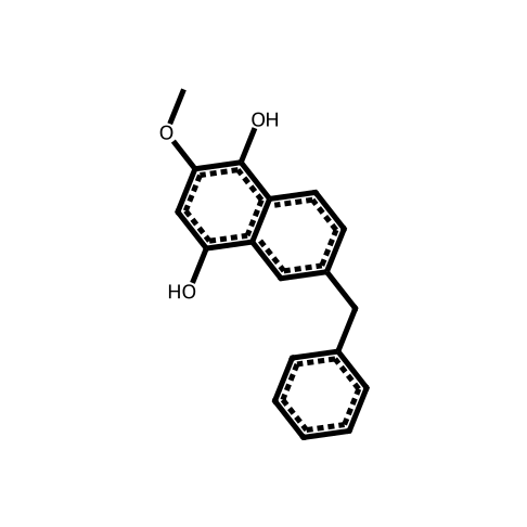 COc1cc(O)c2cc(Cc3ccccc3)ccc2c1O